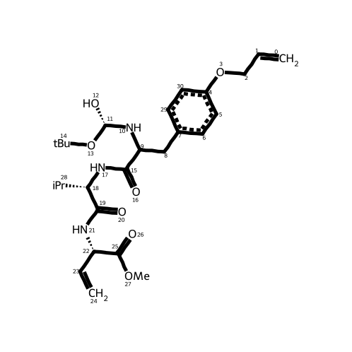 C=CCOc1ccc(CC(N[C@@H](O)OC(C)(C)C)C(=O)N[C@H](C(=O)N[C@@H](C=C)C(=O)OC)C(C)C)cc1